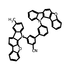 Cc1ccc2c(c1)c1ccc3c4ccccc4oc3c1n2-c1cc(C#N)cc(-c2cccc(-n3c4ccccc4c4ccc5oc6ccccc6c5c43)c2)c1